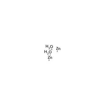 O.O.[Zn].[Zn]